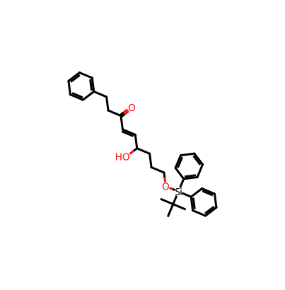 CC(C)(C)[Si](OCCCC(O)C=CC(=O)CCc1ccccc1)(c1ccccc1)c1ccccc1